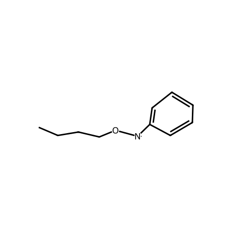 CCCCO[N]c1ccccc1